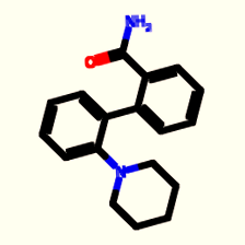 NC(=O)c1ccccc1-c1ccccc1N1CCCCC1